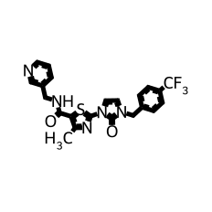 Cc1nc(-n2ccn(Cc3ccc(C(F)(F)F)cc3)c2=O)sc1C(=O)NCc1cccnc1